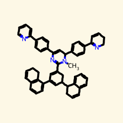 CN1C(C2=CC(c3cccc4c3CCC=C4)=CC(C3CC=Cc4ccccc43)C2)=NC(c2ccc(-c3ccccn3)cc2)=CC1c1ccc(C2=NCCC=C2)cc1